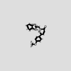 O=c1ccc(-c2ccc(OC(F)F)cc2)nn1Cc1nc2ccccc2[nH]1